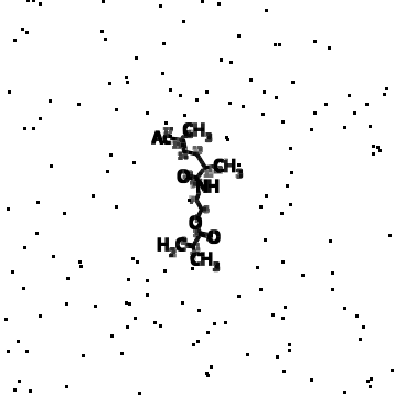 C=C(C)C(=O)OCCNC(=O)C(C)C/C=C(\C)C(C)=O